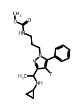 COC(=O)NCCCn1nc(C(C)NC2CC2)c(F)c1-c1ccccc1